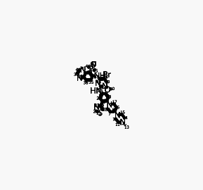 COc1cc(N2CCC(N3CCN(C)CC3)CC2)c(-c2cscn2)cc1Nc1ncc(Br)c(Nc2ccc3nccnc3c2P(C)(C)=O)n1